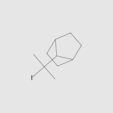 CC(C)(I)C1C2CCC1CC2